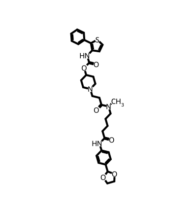 CN(CCCCC(=O)Nc1ccc(C2OCCO2)cc1)C(=O)CCN1CCC(OC(=O)Nc2ccsc2-c2ccccc2)CC1